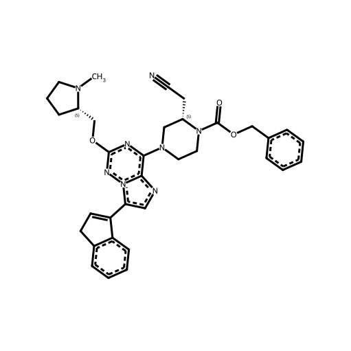 CN1CCC[C@H]1COc1nc(N2CCN(C(=O)OCc3ccccc3)[C@@H](CC#N)C2)c2ncc(C3=CCc4ccccc43)n2n1